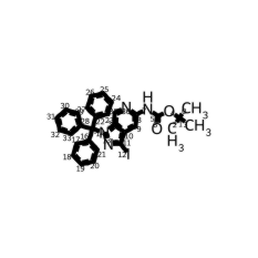 CC(C)(C)OC(=O)Nc1cc2c(I)nn(C(c3ccccc3)(c3ccccc3)c3ccccc3)c2cn1